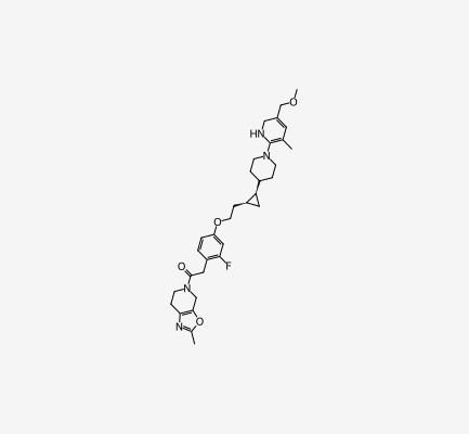 COCC1=CC(C)=C(N2CCC([C@H]3C[C@H]3CCOc3ccc(CC(=O)N4CCc5nc(C)oc5C4)c(F)c3)CC2)NC1